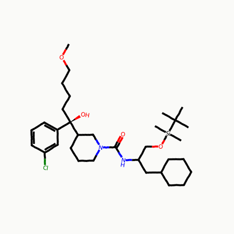 COCCCC[C@@](O)(c1cccc(Cl)c1)C1CCCN(C(=O)NC(CO[Si](C)(C)C(C)(C)C)CC2CCCCC2)C1